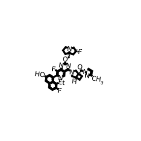 CCc1c(F)ccc2cc(O)cc(-c3ncc4c(N5C[C@H]6CC[C@@]6(C(=O)n6ccc(C)n6)C5)nc(OC[C@@]56CCCN5C[C@H](F)C6)nc4c3F)c12